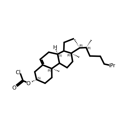 CC(C)CCC[C@@H](C)[C@H]1CCC2[C@@H]3CC=C4C[C@@H](OC(=O)Cl)CC[C@]4(C)C3CC[C@@]21C